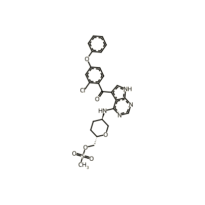 CS(=O)(=O)OC[C@@H]1CC[C@@H](Nc2ncnc3[nH]cc(C(=O)c4ccc(Oc5ccccc5)cc4Cl)c23)CO1